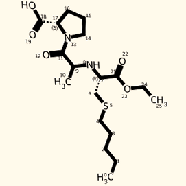 CCCCCSC[C@H](NC(C)C(=O)N1CCC[C@H]1C(=O)O)C(=O)OCC